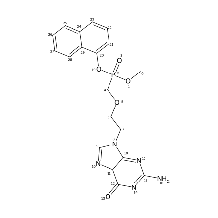 COP(=O)(COCCN1C=NC2C(=O)N=C(N)N=C21)Oc1cccc2ccccc12